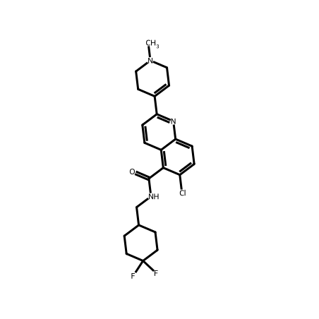 CN1CC=C(c2ccc3c(C(=O)NCC4CCC(F)(F)CC4)c(Cl)ccc3n2)CC1